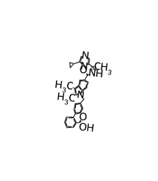 Cc1c(C)n(Cc2ccc(-c3ccccc3C(=O)O)cc2)c2ccc(C(=O)N[C@@H](C)c3cncc(C4CC4)n3)cc12